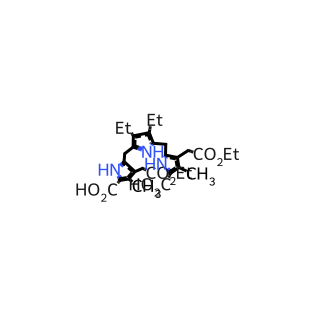 CCOC(=O)Cc1c(Cc2[nH]c(Cc3[nH]c(C(=O)O)c(C)c3CC(=O)OCC)c(CC)c2CC)[nH]c(C(=O)O)c1C